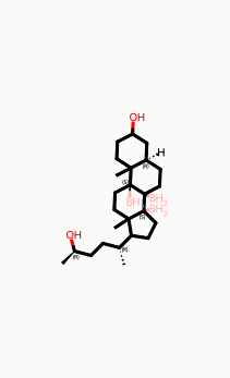 BC12CC[C@@H]3CC(O)CCC3(C)[C@@]1(B)CCC1(C)C([C@H](C)CC[C@@H](C)O)CC[C@]12B